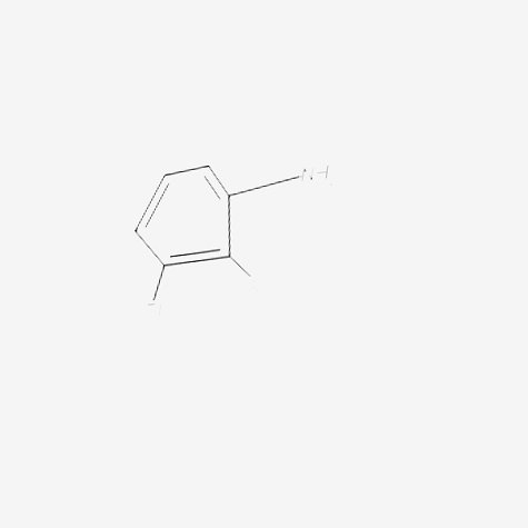 C[CH]c1cccc(N)c1Cl